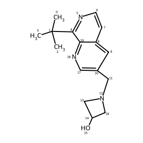 CC(C)(C)c1nccc2cc(CN3CC(O)C3)cnc12